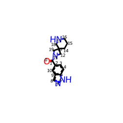 O=C(c1ccc2[nH]ncc2c1)N1CC2(CCCNC2)C1